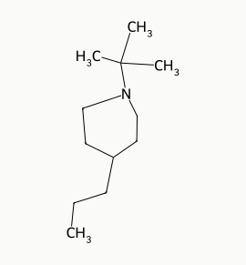 CCCC1CCN(C(C)(C)C)CC1